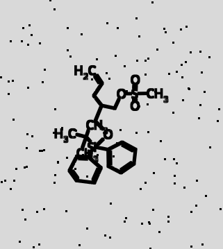 C=CCC(CO[Si](c1ccccc1)(c1ccccc1)C(C)(C)C)COS(C)(=O)=O